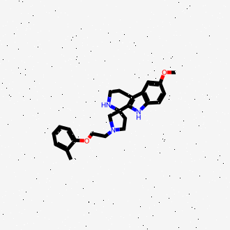 COc1ccc2[nH]c3c(c2c1)CCNC31CCN(CCOc2ccccc2C)C1